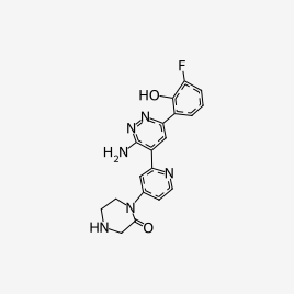 Nc1nnc(-c2cccc(F)c2O)cc1-c1cc(N2CCNCC2=O)ccn1